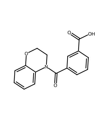 O=C(O)c1cccc(C(=O)N2CCOc3ccccc32)c1